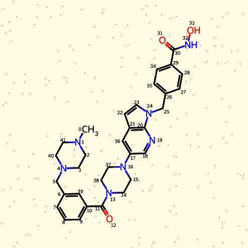 CN1CCN(Cc2cccc(C(=O)N3CCN(c4cnc5c(ccn5Cc5ccc(C(=O)NO)cc5)c4)CC3)c2)CC1